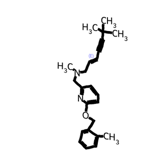 Cc1ccccc1COc1cccc(CN(C)C/C=C/C#CC(C)(C)C)n1